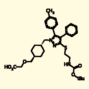 Cc1ccc(-c2c(-c3ccccc3)c(SCCNC(=O)OC(C)(C)C)nn2C[C@H]2CC[C@H](COCC(=O)O)CC2)cc1